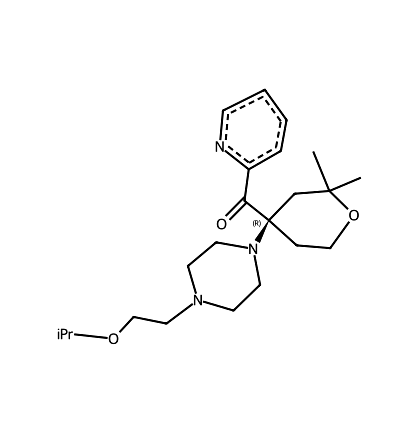 CC(C)OCCN1CCN([C@]2(C(=O)c3ccccn3)CCOC(C)(C)C2)CC1